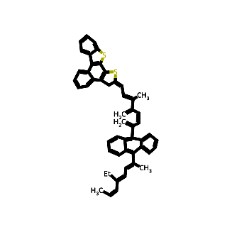 C=C(/C=C\C(=C)c1c2ccccc2c(/C(C)=C/C=C(/C=C\C)CC)c2ccccc12)/C(C)=C/C=C1\Cc2c(c3sc4ccccc4c3c3ccccc23)S1